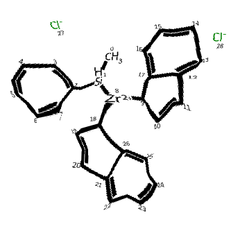 C[SiH](c1ccccc1)[Zr+2]([CH]1C=Cc2ccccc21)[CH]1C=Cc2ccccc21.[Cl-].[Cl-]